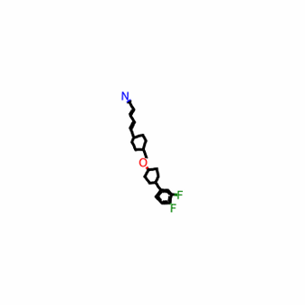 N#CC=CC=CC1CCC(COC2CCC(c3ccc(F)c(F)c3)CC2)CC1